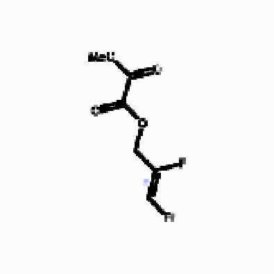 CC/C=C(\F)COC(=O)C(=O)OC